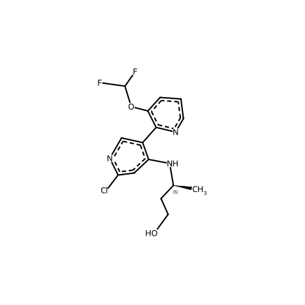 C[C@@H](CCO)Nc1cc(Cl)ncc1-c1ncccc1OC(F)F